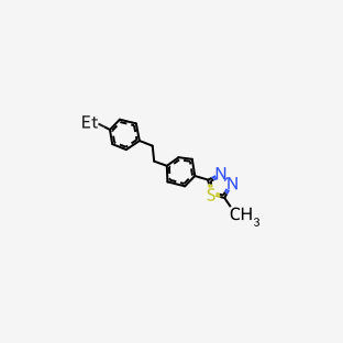 CCc1ccc(CCc2ccc(-c3nnc(C)s3)cc2)cc1